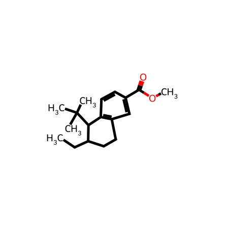 CCC1CCc2cc(C(=O)OC)ccc2C1C(C)(C)C